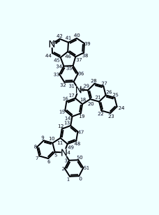 c1ccc(-n2c3ccccc3c3cc(-c4ccc5c(c4)c4c6ccccc6ccc4n5-c4ccc5c(c4)-c4cccc6cncc-5c46)ccc32)cc1